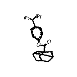 CC(C)C(c1ccc(OC(=O)C23CC4CC(CC(C4)C2)C3)cc1)C(C)C